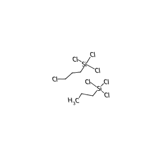 CCC[Si](Cl)(Cl)Cl.ClCCC[Si](Cl)(Cl)Cl